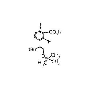 CC(C)(C)C(CO[Si](C)(C)C)c1ccc(F)c(C(=O)O)c1F